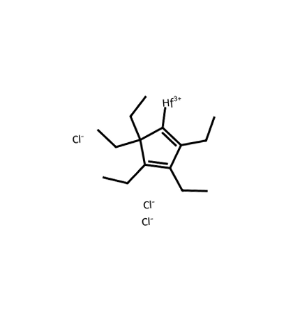 CCC1=[C]([Hf+3])C(CC)(CC)C(CC)=C1CC.[Cl-].[Cl-].[Cl-]